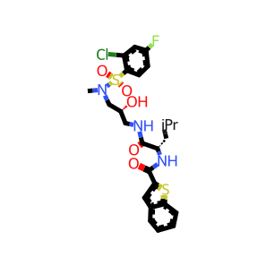 CC(C)C[C@H](NC(=O)c1cc2ccccc2s1)C(=O)NC[C@@H](O)CN(C)S(=O)(=O)c1ccc(F)cc1Cl